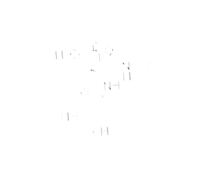 CC(C)CC(=O)N[C@@H](CC(C)C)C(=O)Nc1ccccc1